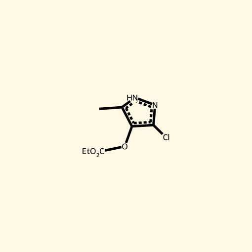 CCOC(=O)Oc1c(Cl)n[nH]c1C